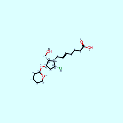 O=C(O)CCCC=CC[C@@H]1[C@@H](CO)[C@H](OC2CCCCO2)C[C@H]1Cl